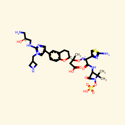 CC(CC(=O)O)(O/N=C(\C(=O)NC1C(=O)N(OS(=O)(=O)O)C1(C)C)c1csc(N)n1)[C@H]1CCc2cc(-c3cnc(NC[C@@H](O)CN)[n+](CC4CNC4)c3)ccc2O1